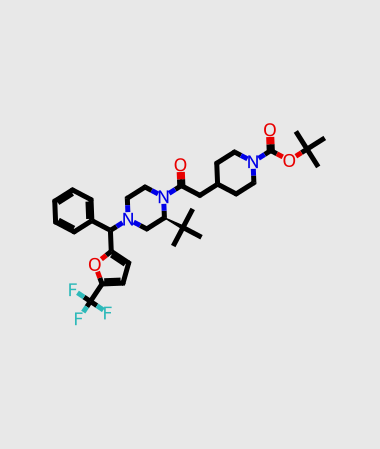 CC(C)(C)OC(=O)N1CCC(CC(=O)N2CCN(C(c3ccccc3)c3ccc(C(F)(F)F)o3)C[C@@H]2C(C)(C)C)CC1